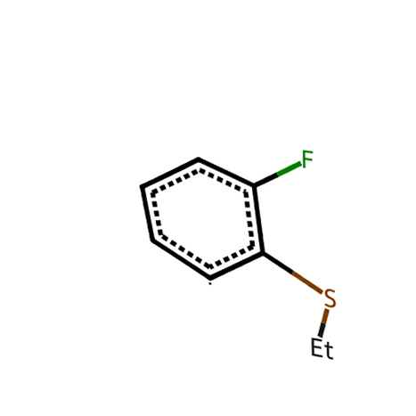 CCSc1[c]cccc1F